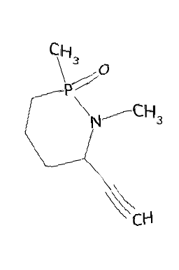 C#CC1CCCP(C)(=O)N1C